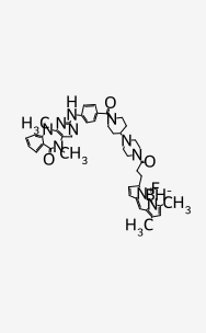 Cc1cc(C)n2c1C=C1C=CC(CCC(=O)N3CCN(C4CCN(C(=O)c5ccc(Nc6ncc7c(n6)N(C)c6ccccc6C(=O)N7C)cc5)CC4)CC3)=[N+]1[BH-]2F